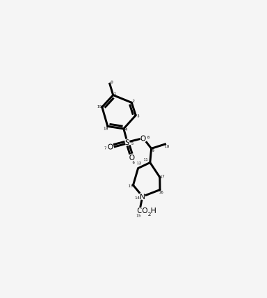 Cc1ccc(S(=O)(=O)OC(C)C2CCN(C(=O)O)CC2)cc1